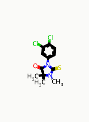 CN1C(=S)N(c2ccc(Cl)c(Cl)c2)C(=O)C1(C)C